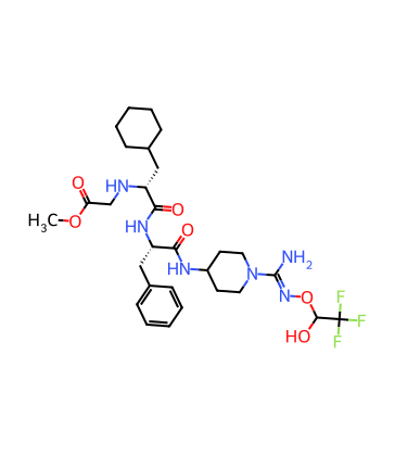 COC(=O)CN[C@H](CC1CCCCC1)C(=O)N[C@@H](Cc1ccccc1)C(=O)NC1CCN(/C(N)=N/OC(O)C(F)(F)F)CC1